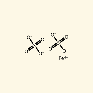 O=S(=O)([O-])[O-].O=S(=O)([O-])[O-].[Fe+4]